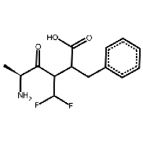 C[C@H](N)C(=O)C(C(F)F)C(Cc1ccccc1)C(=O)O